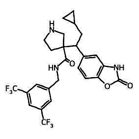 O=C(NCc1cc(C(F)(F)F)cc(C(F)(F)F)c1)C1(C(CC2CC2)c2ccc3oc(=O)[nH]c3c2)CCNC1